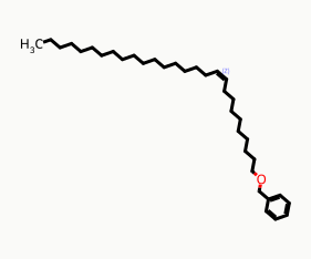 CCCCCCCCCCCCCCCCC/C=C\CCCCCCCCCOCc1ccccc1